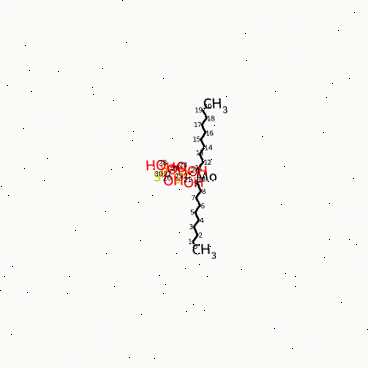 CCCCCCCCC[CH2][Mo][CH2]CCCCCCCCC.OP(O)(O)=S.OP(O)(O)=S